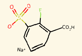 O=C(O)c1cccc(S(=O)(=O)[O-])c1F.[Na+]